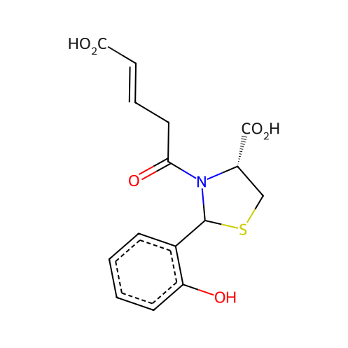 O=C(O)C=CCC(=O)N1C(c2ccccc2O)SC[C@H]1C(=O)O